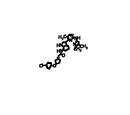 Cc1cnc(Nc2cc(C)n(C)n2)nc1-c1c[nH]c2c(NC(=O)CN3CCC(Oc4ccc(Cl)cc4)C3)cccc12